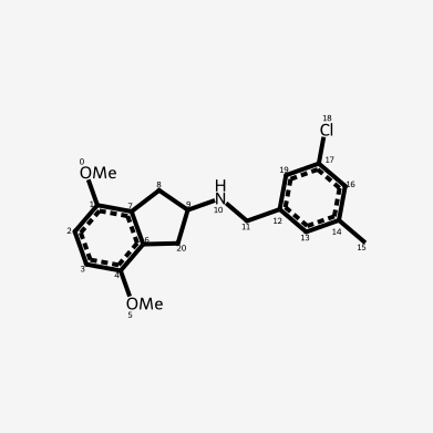 COc1ccc(OC)c2c1CC(NCc1cc(C)cc(Cl)c1)C2